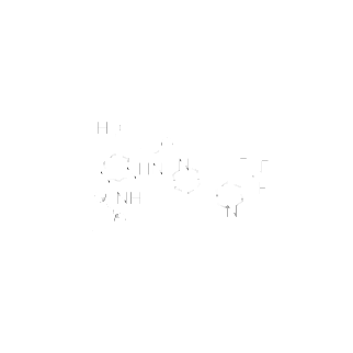 CCC(C(=O)Nc1ccc(-c2cncc(C(F)(F)F)c2)cn1)c1ccnc(NS(=O)(=O)C2CC2)n1